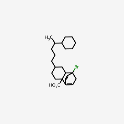 CC(CCCC1CCC2(C(=O)O)C3=CCC(Br)(C=C3)C2C1)C1CCCCC1